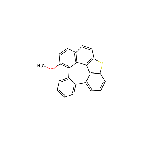 COc1ccc2ccc3sc4cccc5c4c3c2c1-c1ccccc1-5